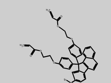 C=CC(=O)OCCOc1ccc(C2(c3ccc(OCCOC(=O)C=C)cc3)c3cc(N(CC)CC)ccc3-c3ccc4ccccc4c32)cc1